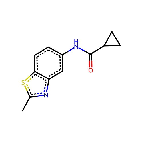 Cc1nc2cc(NC(=O)C3CC3)ccc2s1